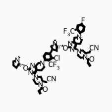 C=CC(=O)N1CCN(c2nc(OC[C@@H]3CC(c4ccc(N5CCc6c(nc(OC[C@@H]7CCCN7C)nc6N6CCN(C(=O)C=C)C(CC#N)C6)C5)c(C(F)(F)F)c4Cl)CN3C)nc3c2CCN(c2ccc(F)cc2C(F)(F)F)C3)CC1CC#N